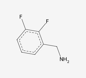 NCc1cccc(F)c1F